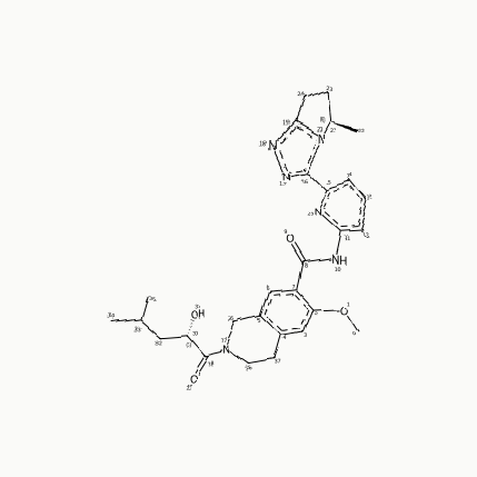 COc1cc2c(cc1C(=O)Nc1cccc(-c3nnc4n3[C@H](C)CC4)n1)CN(C(=O)[C@@H](O)CC(C)C)CC2